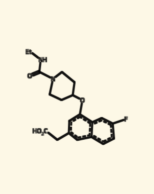 CCNC(=O)N1CCC(Oc2cc(CC(=O)O)cc3ccc(F)cc23)CC1